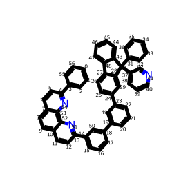 c1ccc(-c2ccc3ccc4ccc(-c5cccc(-c6cccc(-c7ccc8c(c7)C(c7ccccc7)(c7cccnc7)c7ccccc7-8)c6)c5)nc4c3n2)cc1